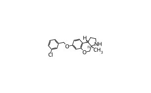 C[C@@]12COc3cc(OCc4cccc(Cl)c4)ccc3[C@@H]1CCN2